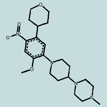 COc1cc([N+](=O)[O-])c(C2CCOCC2)cc1N1CCC(N2CCN(C)CC2)CC1